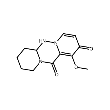 COc1c2n(ccc1=O)NC1CCCCN1C2=O